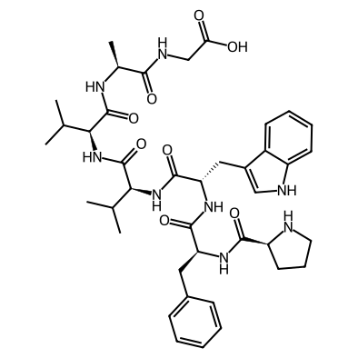 CC(C)[C@H](NC(=O)[C@H](Cc1c[nH]c2ccccc12)NC(=O)[C@H](Cc1ccccc1)NC(=O)[C@@H]1CCCN1)C(=O)N[C@H](C(=O)N[C@@H](C)C(=O)NCC(=O)O)C(C)C